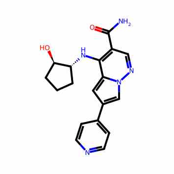 NC(=O)c1cnn2cc(-c3ccncc3)cc2c1N[C@@H]1CCC[C@H]1O